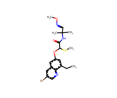 CCc1cc(OC(SC)C(=O)NC(C)(C)C=NOC)cc2cc(Br)cnc12